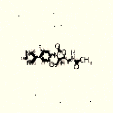 CC(=O)NC[C@@H]1OC(=O)N2c3cc(F)c(-c4cncnc4)cc3OC[C@@H]12